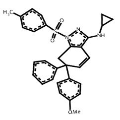 COc1ccc(C2(c3ccccc3)C=Cc3c(NC4CC4)nn(S(=O)(=O)c4ccc(C)cc4)c3C2)cc1